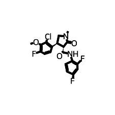 COc1c(F)ccc([C@H]2CN(C)C(=O)[C@@H]2C(=O)Nc2ccc(F)cc2F)c1Cl